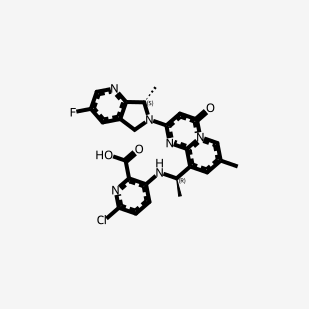 Cc1cc([C@@H](C)Nc2ccc(Cl)nc2C(=O)O)c2nc(N3Cc4cc(F)cnc4[C@@H]3C)cc(=O)n2c1